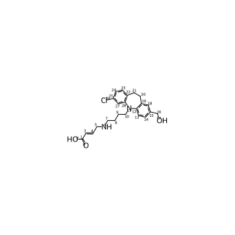 O=C(O)/C=C/CNCCCCN1c2ccc(CO)cc2CCc2ccc(Cl)cc21